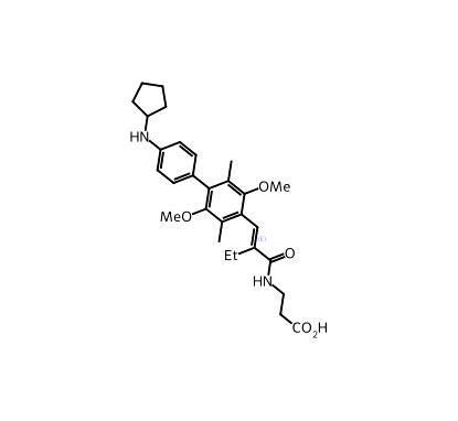 CC/C(=C\c1c(C)c(OC)c(-c2ccc(NC3CCCC3)cc2)c(C)c1OC)C(=O)NCCC(=O)O